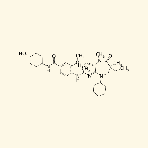 C/C=C1\C(=N/C(C)Nc2ccc(C(=O)N[C@H]3CC[C@H](O)CC3)cc2OC)N(C2CCCCC2)CC(C)(CC)C(=O)N1C